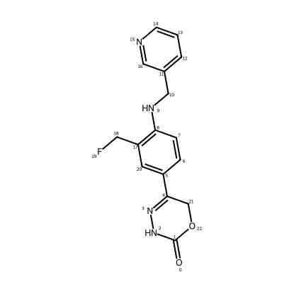 O=C1NN=C(c2ccc(NCc3cccnc3)c(CF)c2)CO1